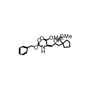 COC(=O)/C(=C\CCC1([N+](=O)OC)CCCC1)NC(=O)OCc1ccccc1